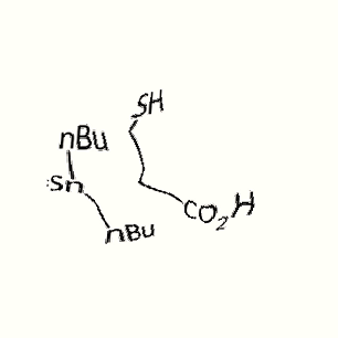 CCC[CH2][Sn][CH2]CCC.O=C(O)CS